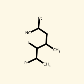 CCC(C#N)CC(C)C(I)C(C)C(C)C